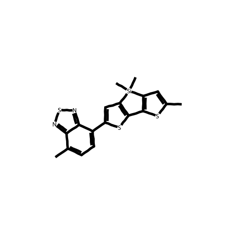 Cc1cc2c(s1)-c1sc(-c3ccc(C)c4nsnc34)cc1[Si]2(C)C